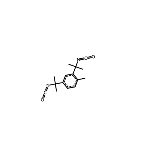 Cc1ccc(C(C)(C)N=C=O)cc1C(C)(C)N=C=O